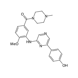 COc1ccc(C(=O)N2CCN(C)CC2)cc1Nc1cncc(-c2ccc(O)cc2)n1